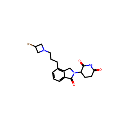 O=C1CCC(N2Cc3c(CCCN4CC(Br)C4)cccc3C2=O)C(=O)N1